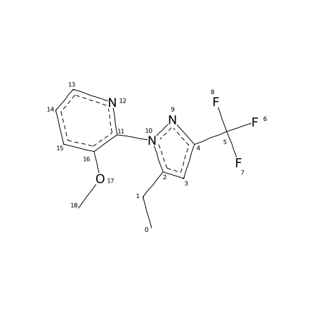 CCc1cc(C(F)(F)F)nn1-c1ncccc1OC